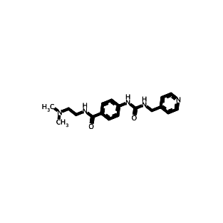 CN(C)CCNC(=O)c1ccc(NC(=O)NCc2ccncc2)cc1